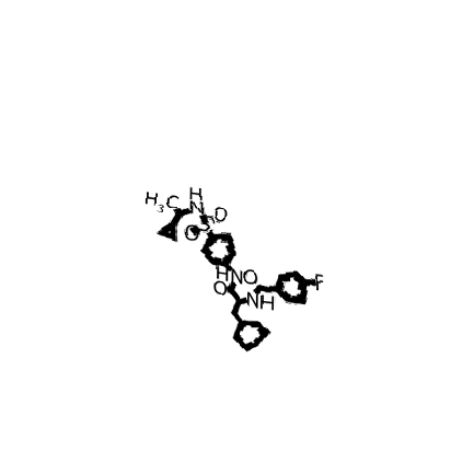 CC(NS(=O)(=O)c1ccc(NC(=O)C(Cc2ccccc2)NC(=O)c2ccc(F)cc2)cc1)C1CC1